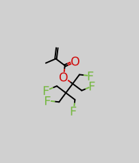 C=C(C)C(=O)OC(CF)(CF)C(CF)(CF)CF